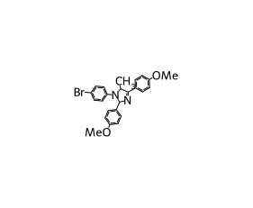 COc1ccc(C2=NC(c3ccc(OC)cc3)N(c3ccc(Br)cc3)C2C)cc1